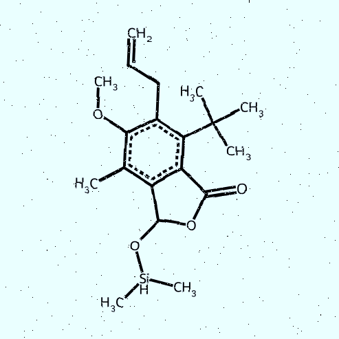 C=CCc1c(OC)c(C)c2c(c1C(C)(C)C)C(=O)OC2O[SiH](C)C